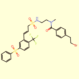 CN(CCNS(=O)(=O)CC=Cc1cc(S(=O)(=O)c2ccccc2)ccc1C(F)(F)F)C(=O)c1ccc(CCBr)cc1